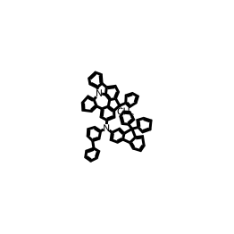 CC1(c2ccccc2)c2cc(N(c3cccc(-c4ccccc4)c3)c3ccc4c(c3)C(c3ccccc3)(c3ccccc3)c3ccccc3-4)cc3c2-c2c1ccc1c4ccccc4n(c21)-c1ccccc1-3